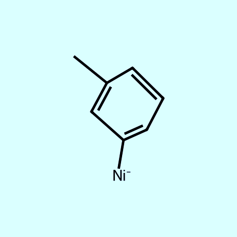 Cc1ccc[c]([Ni-])c1